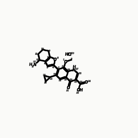 COc1c(-c2cc3c(o2)CCCC3N)c(C2CC2)cc2c(=O)c(C(=O)O)c[nH]c12.Cl